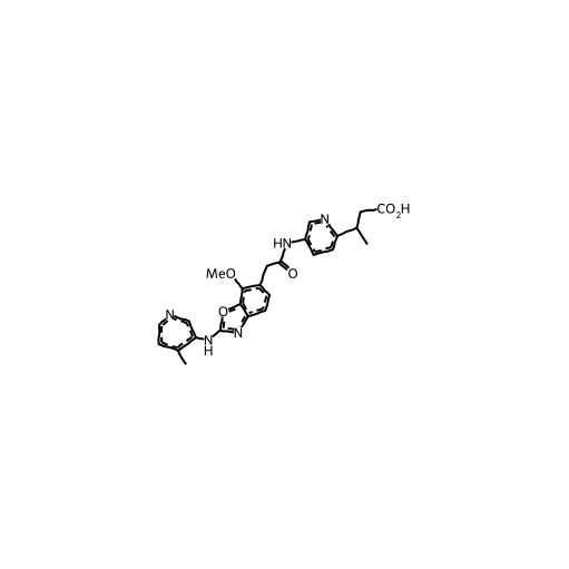 COc1c(CC(=O)Nc2ccc(C(C)CC(=O)O)nc2)ccc2nc(Nc3cnccc3C)oc12